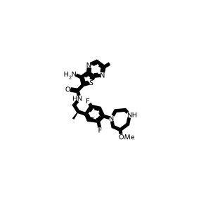 COC1CNCCN(c2cc(F)c([C@@H](C)CNC(=O)c3sc4nc(C)cnc4c3N)cc2F)C1